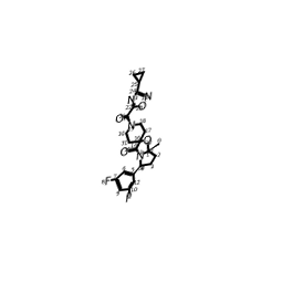 C[C@@]12CC[C@@H](c3cc(F)cc(F)c3)N1C(=O)C1(CCN(C(=O)c3nc(C4CC4)no3)CC1)O2